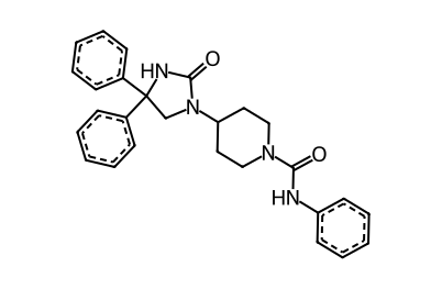 O=C(Nc1ccccc1)N1CCC(N2CC(c3ccccc3)(c3ccccc3)NC2=O)CC1